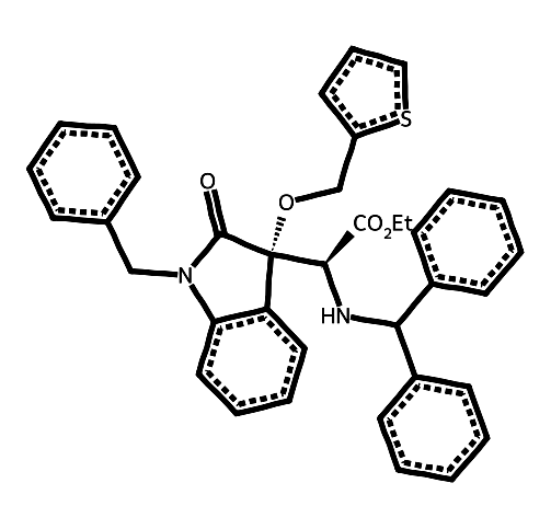 CCOC(=O)[C@@H](NC(c1ccccc1)c1ccccc1)[C@]1(OCc2cccs2)C(=O)N(Cc2ccccc2)c2ccccc21